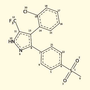 CS(=O)(=O)c1ccc(-c2n[nH]c(C(F)(F)F)c2-c2ccccc2Cl)cc1